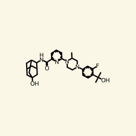 CC1CN(c2ccc(C(C)(C)O)c(F)c2)CCN1c1cccc(C(=O)NC2C3CC4CC2CC(O)(C4)C3)n1